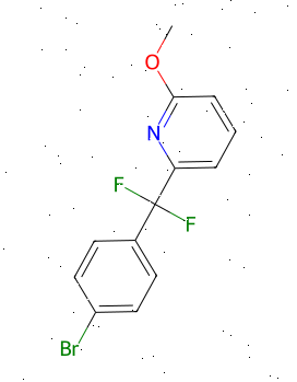 COc1cccc(C(F)(F)c2ccc(Br)cc2)n1